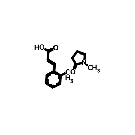 CN1CCCC1=O.Cc1ccccc1C=CC(=O)O